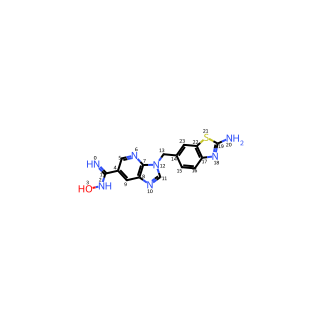 N=C(NO)c1cnc2c(c1)ncn2Cc1ccc2nc(N)sc2c1